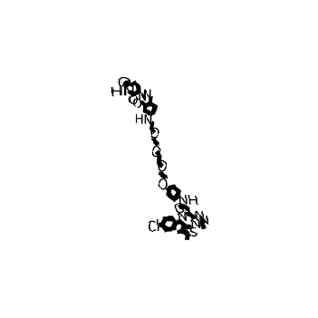 Cc1sc2c(c1C)C(c1ccc(Cl)cc1)=N[C@@H](CC(=O)Nc1ccc(OCCOCCOCCOCCNc3ccc4cnn(C5CCC(=O)NC5=O)c(=O)c4c3)cc1)c1nnc(C)n1-2